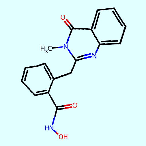 Cn1c(Cc2ccccc2C(=O)NO)nc2ccccc2c1=O